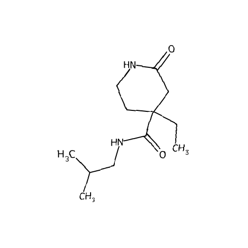 CCC1(C(=O)NCC(C)C)CCNC(=O)C1